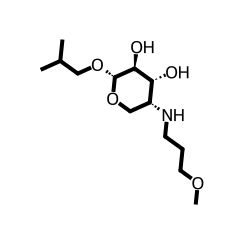 COCCCN[C@@H]1CO[C@H](OCC(C)C)[C@@H](O)[C@@H]1O